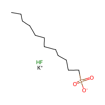 CCCCCCCCCCCCS(=O)(=O)[O-].F.[K+]